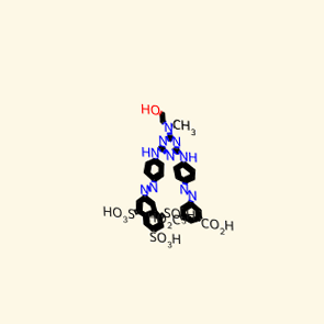 CN(CCO)c1nc(Nc2ccc(/N=N/c3cc(C(=O)O)cc(C(=O)O)c3)cc2)nc(Nc2ccc(/N=N/c3cc(S(=O)(=O)O)c4cc(S(=O)(=O)O)cc(S(=O)(=O)O)c4c3)cc2)n1